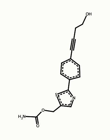 NC(=O)OCc1cnc(-c2ccc(C#CCCO)cc2)s1